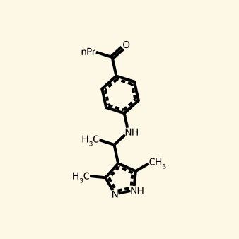 CCCC(=O)c1ccc(NC(C)c2c(C)n[nH]c2C)cc1